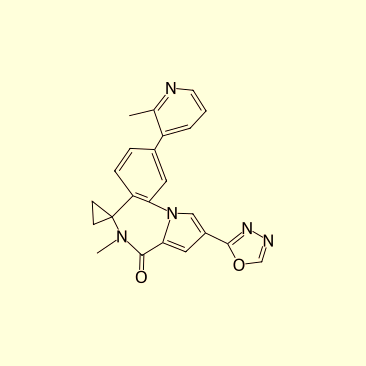 Cc1ncccc1-c1ccc2c(c1)-n1cc(-c3nnco3)cc1C(=O)N(C)C21CC1